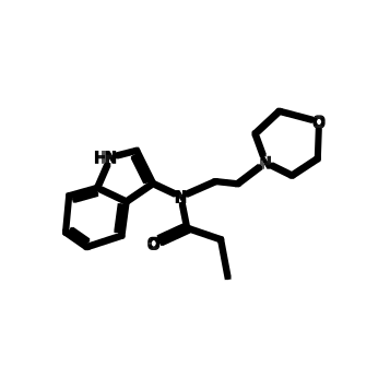 CCC(=O)N(CCN1CCOCC1)c1c[nH]c2ccccc12